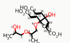 CC(O)COC(C)COC(C)(C=CC(=O)O)C(O)(C=CC(=O)O)/C=C/C(=O)O